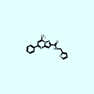 O=C(NCc1ccco1)c1cc2nc(-c3ccccc3)cc(C(F)(F)F)n2n1